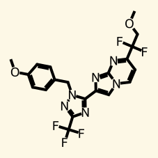 COCC(F)(F)c1ccn2cc(-c3nc(C(F)(F)F)nn3Cc3ccc(OC)cc3)nc2n1